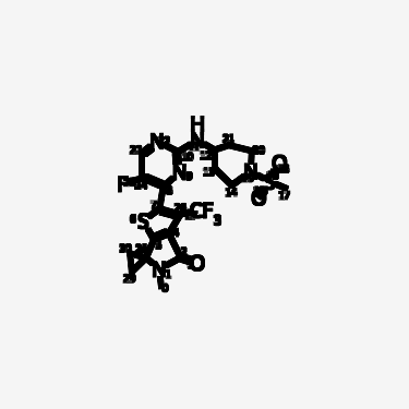 CN1C(=O)c2c(sc(-c3nc(NC4CCN(S(C)(=O)=O)CC4)ncc3F)c2C(F)(F)F)C12CC2